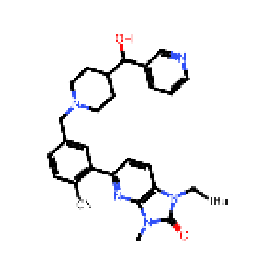 Cn1c(=O)n(CC(C)(C)C)c2ccc(-c3cc(CN4CCC(C(O)c5cccnc5)CC4)ccc3C#N)nc21